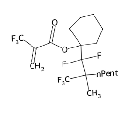 C=C(C(=O)OC1(C(F)(F)C(C)(CCCCC)C(F)(F)F)CCCCC1)C(F)(F)F